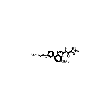 COCCOc1cccc(-c2ccc(OC)c3nc(NC(=O)c4nnc(C)s4)cnc23)c1